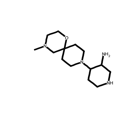 CN1CCOC2(CCN(C3CCNCC3N)CC2)C1